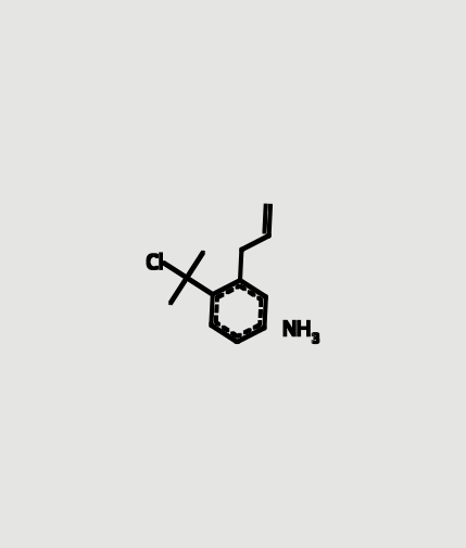 C=CCc1ccccc1C(C)(C)Cl.N